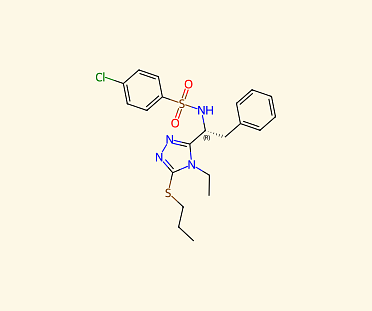 CCCSc1nnc([C@@H](Cc2ccccc2)NS(=O)(=O)c2ccc(Cl)cc2)n1CC